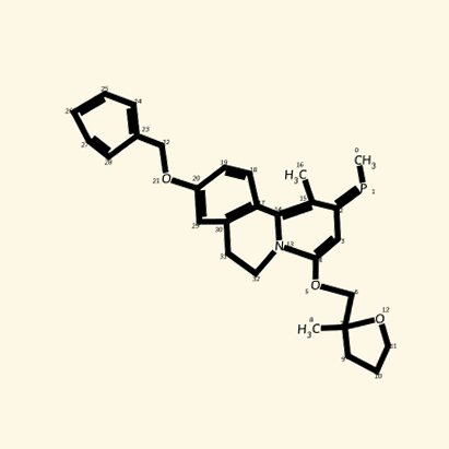 C/P=c1/cc(OCC2(C)CCCO2)n2c(c1C)-c1ccc(OCc3ccccc3)cc1CC2